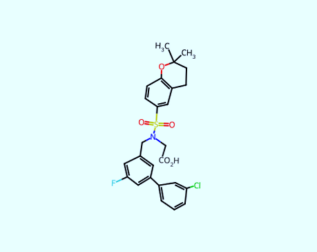 CC1(C)CCc2cc(S(=O)(=O)N(CC(=O)O)Cc3cc(F)cc(-c4cccc(Cl)c4)c3)ccc2O1